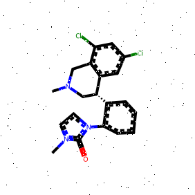 CN1Cc2c(Cl)cc(Cl)cc2[C@H](c2ccccc2-n2ccn(C)c2=O)C1